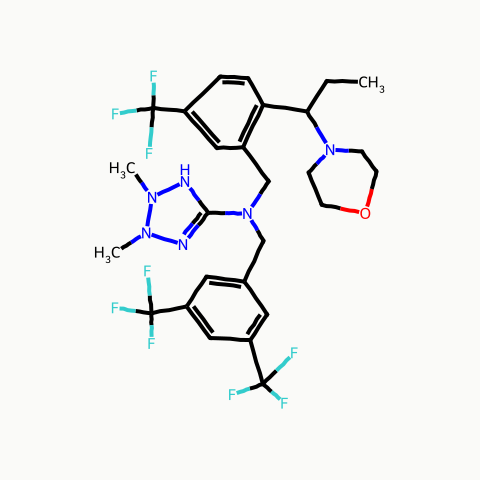 CCC(c1ccc(C(F)(F)F)cc1CN(Cc1cc(C(F)(F)F)cc(C(F)(F)F)c1)C1=NN(C)N(C)N1)N1CCOCC1